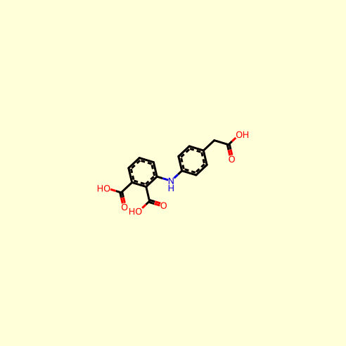 O=C(O)Cc1ccc(Nc2cccc(C(=O)O)c2C(=O)O)cc1